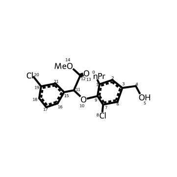 CCCc1cc(CO)cc(Cl)c1OC(C(=O)OC)c1cccc(Cl)c1